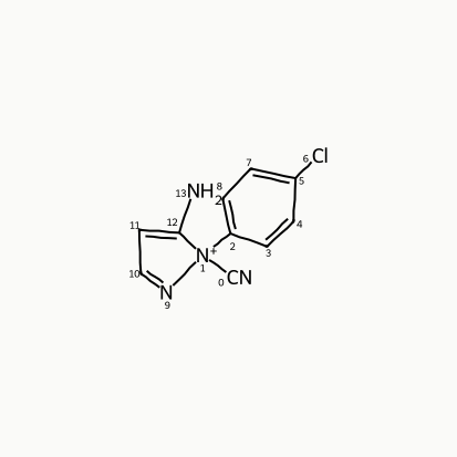 N#C[N+]1(c2ccc(Cl)cc2)N=CC=C1N